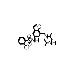 CC1CN(Cc2cc(NS(=O)(=O)c3ccccc3Cl)cc3ccoc23)C(C)CN1